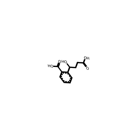 O=C(O)CCC(O)c1ccccc1C(=O)O